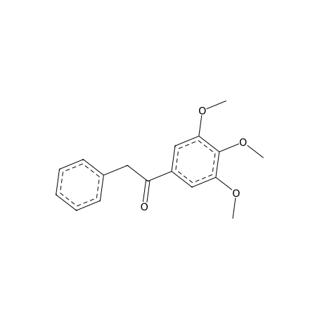 COc1cc(C(=O)Cc2ccccc2)cc(OC)c1OC